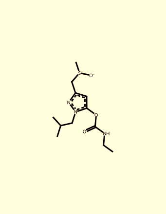 CCNC(=O)Oc1cc(C[S+](C)[O-])nn1CC(C)C